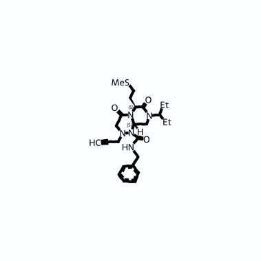 C#CCN1CC(=O)N2[C@@H](CCSC)C(=O)N(C(CC)CC)C[C@@H]2N1C(=O)NCc1ccccc1